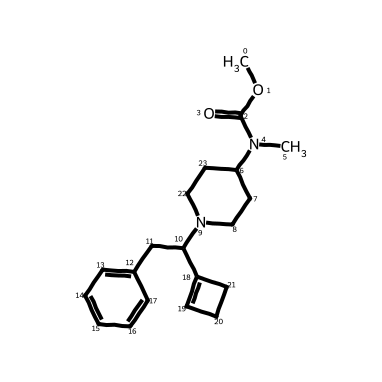 COC(=O)N(C)C1CCN(C(Cc2ccccc2)C2=CCC2)CC1